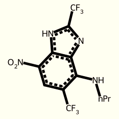 CCCNc1c(C(F)(F)F)cc([N+](=O)[O-])c2[nH]c(C(F)(F)F)nc12